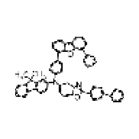 CC1(C)c2ccccc2-c2ccc(N(C3=CC=C4OC(c5ccc(-c6ccccc6)cc5)=NC4C3)c3ccc(-c4cccc5c4oc4c(-c6ccccc6)cccc45)cc3)cc21